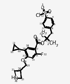 CC(C)(Cc1ccc(S(=O)(=O)Cl)cc1)OC(=O)c1cc(C2CC2)c(OCC2CNC2)cc1F